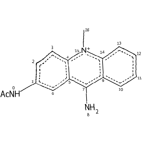 CC(=O)Nc1ccc2c(c1)c(N)c1ccccc1[n+]2C